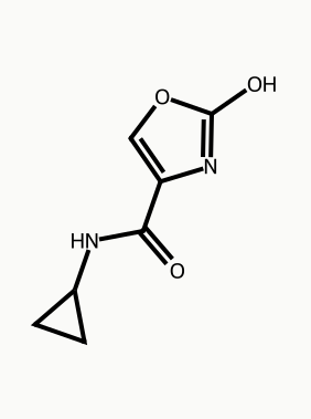 O=C(NC1CC1)c1coc(O)n1